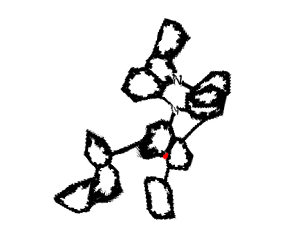 c1ccc(-c2ccc(-c3ccccc3N(c3cccc(-c4cccc5c4ccc4ccccc45)c3)c3cccc4c5ccccc5n(-c5ccccc5)c34)cc2)cc1